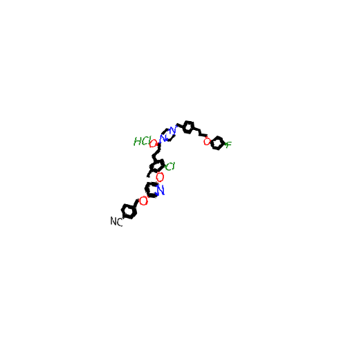 Cc1cc(C=CC(=O)N2CCN(Cc3ccc(CCCOc4ccc(F)cc4)cc3)CC2)cc(Cl)c1Oc1ccc(OCc2ccc(C#N)cc2)cn1.Cl